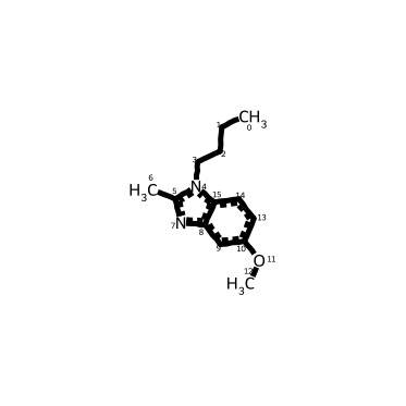 CCCCn1c(C)nc2cc(OC)ccc21